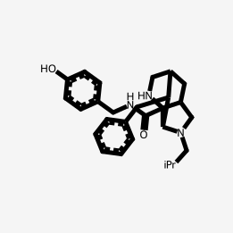 CC(C)CN1CC2CC3CNC2(C(=O)NCc2ccc(O)cc2)C1C3Cc1ccccc1